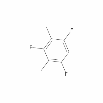 Cc1c(F)cc(F)c(C)c1F